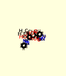 CC(C)(C)c1cc(CC(C(=O)O)C2(C(=O)O)C=CC=C3N=NN=C32)cc(-n2nc3ccccc3n2)c1O